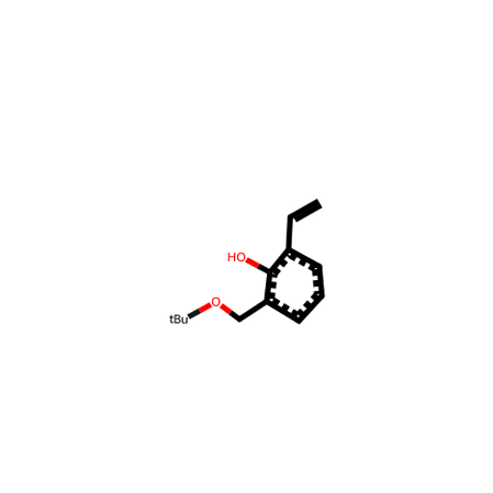 C=Cc1cccc(COC(C)(C)C)c1O